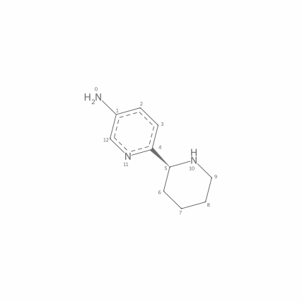 Nc1ccc([C@@H]2CCCCN2)nc1